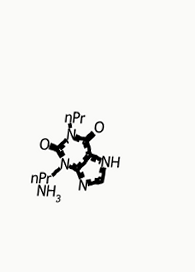 CCCn1c(=O)c2[nH]cnc2n(CCC)c1=O.N